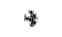 Cn1cncc1-c1ccc(Nc2cc(NC(=O)[C@@H]3C[C@@H]3F)nc3c2nc(C(F)F)n3C2CCCCO2)c(S(C)(=O)=O)c1